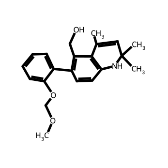 COCOc1ccccc1-c1ccc2c(c1CO)C(C)=CC(C)(C)N2